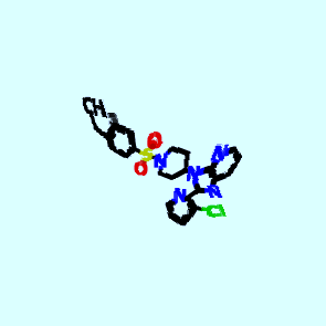 CCc1ccc(S(=O)(=O)N2CCC(n3c(-c4ncccc4Cl)nc4cccnc43)CC2)cc1